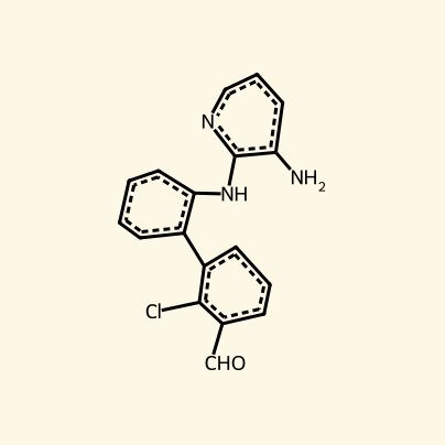 Nc1cccnc1Nc1ccccc1-c1cccc(C=O)c1Cl